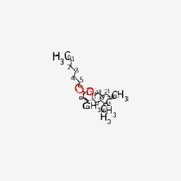 CCCCCCOC(C=C(C)CCCC(C)C)OCCCCCC